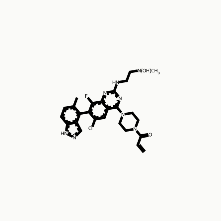 C=CC(=O)N1CCN(c2nc(NCCN(C)O)nc3c(F)c(-c4c(C)ccc5[nH]ncc45)c(Cl)cc23)CC1